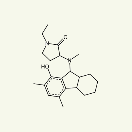 CCN1CCC(N(C)C2c3c(O)c(C)cc(C)c3C3CCCCC32)C1=O